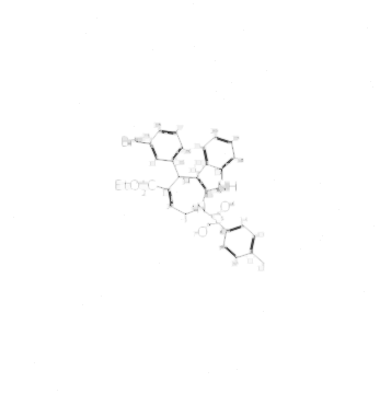 CCOC(=O)C1=CCN(S(=O)(=O)c2ccc(C)cc2)c2[nH]c3ccccc3c2C1c1cccc(Br)c1